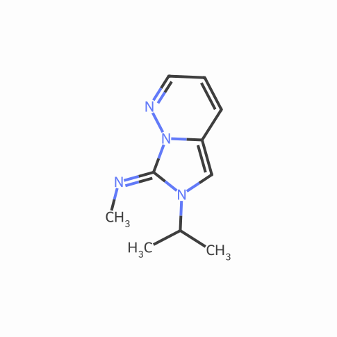 C/N=c1\n(C(C)C)cc2cccnn12